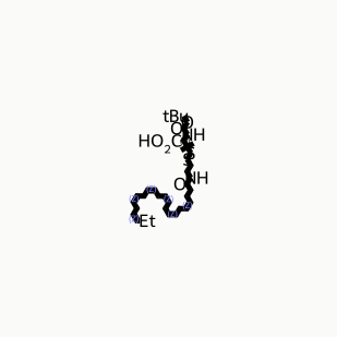 CC/C=C\C/C=C\C/C=C\C/C=C\C/C=C\C/C=C\CCC(=O)NCCSSC(C)(C)[C@@H](NC(=O)OC(C)(C)C)C(=O)O